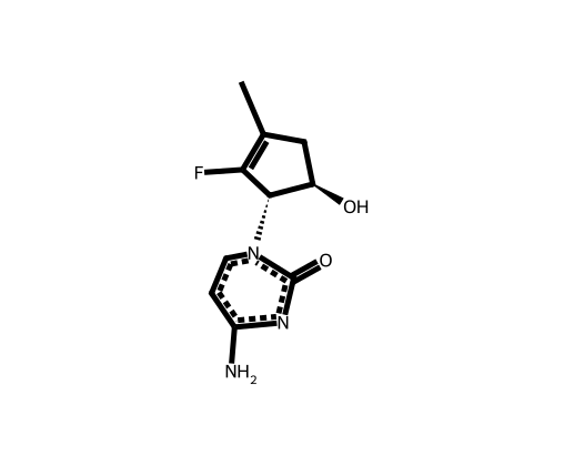 CC1=C(F)[C@@H](n2ccc(N)nc2=O)[C@H](O)C1